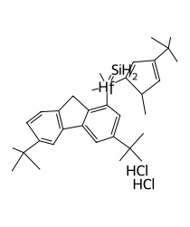 CC1C=C(C(C)(C)C)C=[C]1[Hf]([CH3])([CH3])(=[SiH2])[c]1cc(C(C)(C)C)cc2c1Cc1ccc(C(C)(C)C)cc1-2.Cl.Cl